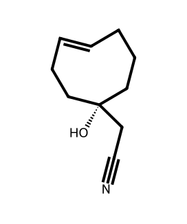 N#CC[C@@]1(O)CC/C=C/CCC1